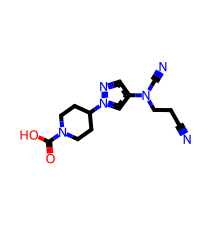 N#CCCN(C#N)c1cnn(C2CCN(C(=O)O)CC2)c1